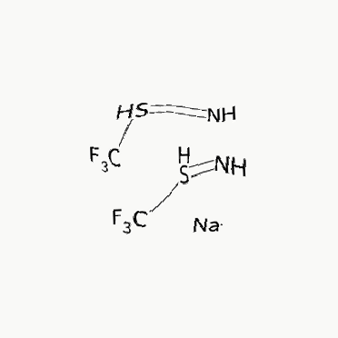 N=[SH]C(F)(F)F.N=[SH]C(F)(F)F.[Na]